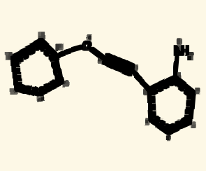 Nc1ccccc1C#COc1ccccc1